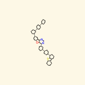 c1ccc(-c2ccc(-c3cccc(-c4ccc5oc6c(-c7cccc(-c8ccc(-c9cccc%10c9sc9ccccc9%10)cc8)c7)ncnc6c5c4)c3)cc2)cc1